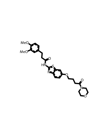 COc1ccc(CCC(=O)Nc2nc3ccc(OCCCC(=O)N4CCOCC4)cc3s2)cc1OC